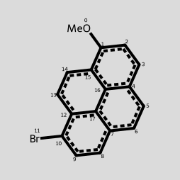 COc1ccc2ccc3ccc(Br)c4ccc1c2c34